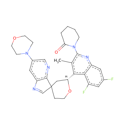 Cc1c(N2CCCCC2=O)nc2cc(F)cc(F)c2c1[C@H]1CC2(C=Nc3cc(N4CCOCC4)cnc32)CCO1